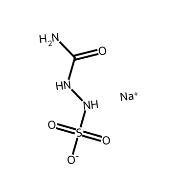 NC(=O)NNS(=O)(=O)[O-].[Na+]